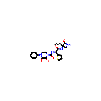 COC1(NC(=O)C(NC(=O)N2CCN(c3ccccc3)C(=O)C2=O)c2cccs2)CNC1=O